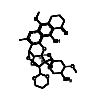 COc1c2c(c(O)c3c4c(c(C)cc13)C1OC3(C5OCCCO5)OC1[C@@](OC1CC(OC)C(N)CO1)(O4)[C@@]31CO1)C(=O)CCC2